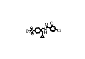 CCS(=O)(=O)C1CCC(CNC(=O)c2ccc(Cl)cc2Cl)(CC2CC2)CC1